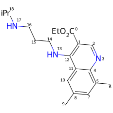 CCOC(=O)c1cnc2c(C)cc(C)cc2c1NCCCNC(C)C